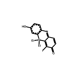 CC[Si]1(CC)C2=C(I)C(=O)C=CC2=Nc2ccc(O)cc21